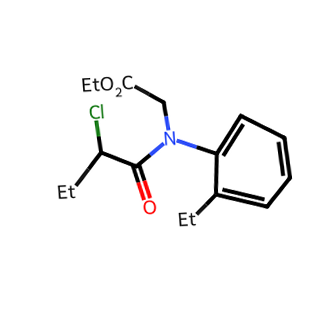 CCOC(=O)CN(C(=O)C(Cl)CC)c1ccccc1CC